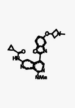 CNc1ncc(-c2nc3cc(OC4CN(C)C4)ccc3o2)c2cc(NC(=O)C3CC3)ncc12